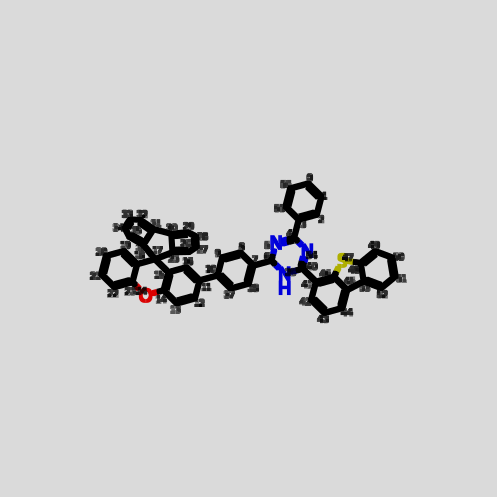 c1ccc(C2=NC(c3ccc(-c4ccc5c(c4)C4(c6ccccc6O5)c5ccccc5-c5ccccc54)cc3)NC(c3cccc4c3sc3ccccc34)=N2)cc1